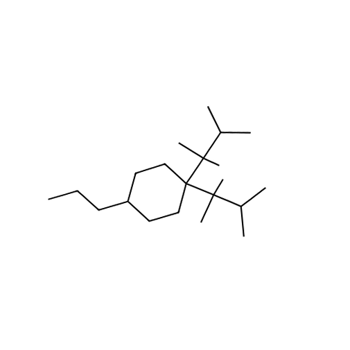 CCCC1CCC(C(C)(C)C(C)C)(C(C)(C)C(C)C)CC1